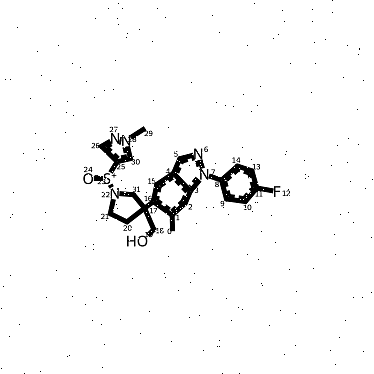 Cc1cc2c(cnn2-c2ccc(F)cc2)cc1C1(CO)CCN([S+]([O-])c2cnn(C)c2)C1